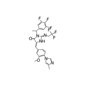 COc1cc(/C=C2\N/C(=N\CC(F)(F)F)N(C(C)c3cc(F)c(F)c(F)c3)C2=O)ccc1-n1cnc(C)c1